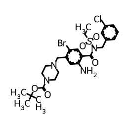 CCS(=O)(=O)N(Cc1cccc(Cl)c1)C(=O)c1cc(Br)c(CN2CCN(C(=O)OC(C)(C)C)CC2)cc1N